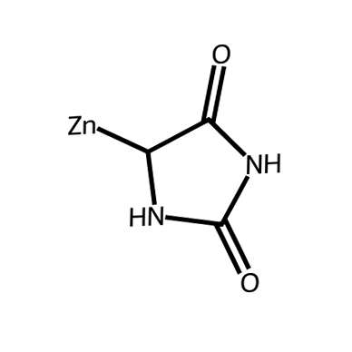 O=C1NC(=O)[CH]([Zn])N1